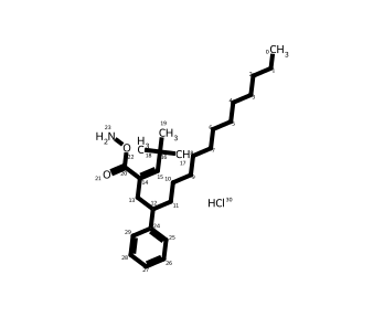 CCCCCCCCCCCCC(CC(=CC(C)(C)C)C(=O)ON)c1ccccc1.Cl